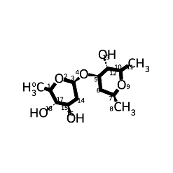 CC1O[C@@H](O[C@@H]2C[C@H](C)OC(C)[C@H]2O)C[C@@H](O)[C@@H]1O